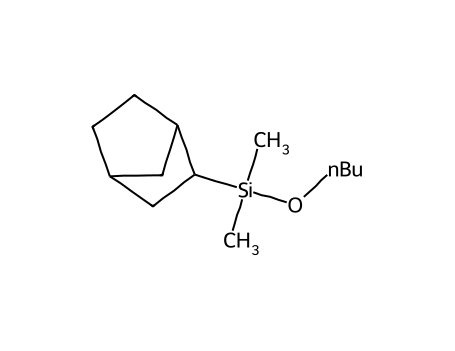 CCCCO[Si](C)(C)C1CC2CCC1C2